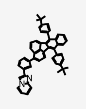 CC(C)(C)c1ccc(-c2c3c(c(-c4ccc(C(C)(C)C)cc4)c4ccccc24)-c2ccc(-c4cccc(-c5cn6ccccc6n5)c4)c4cccc-3c24)cc1